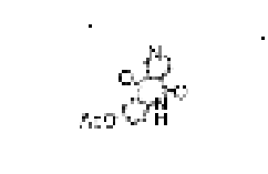 CC(=O)Oc1ccc2[nH]c(=O)c3ccncc3c(=O)c2c1